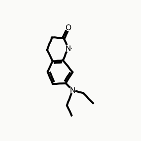 CCN(CC)c1ccc2c(c1)[N]C(=O)CC2